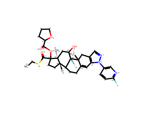 CC12Cc3cnn(-c4ccc(F)nc4)c3C=C1CCC1[C@@H]3CCC(OC(=O)C4CCCO4)(C(=O)SCC#N)[C@@]3(C)CC(O)[C@@]12F